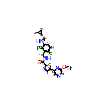 CCOc1cncc(-c2cnc(C(=O)NCc3c(F)ccc(NSC4CC4)c3F)s2)n1